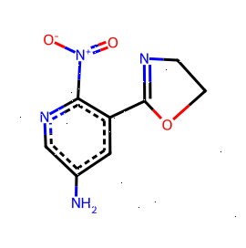 Nc1cnc([N+](=O)[O-])c(C2=NCCO2)c1